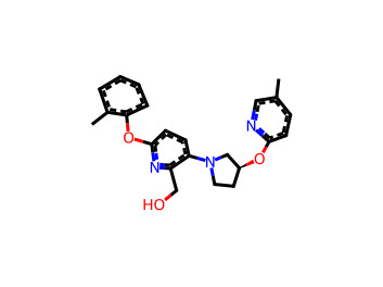 Cc1ccc(O[C@H]2CCN(c3ccc(Oc4ccccc4C)nc3CO)C2)nc1